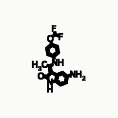 CC(Nc1ccc(OC(F)F)cc1)=C1C(=O)Nc2ccc(N)cc21